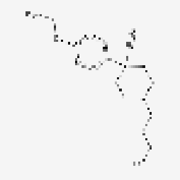 CCCCC1CCC(C#N)(c2ccc(OCC)cc2)CC1